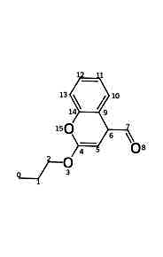 CCCOC1=CC(C=O)c2ccccc2O1